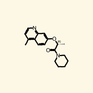 Cc1ccnc2cc(O[C@H](C)C(=O)N3CCCCC3)ccc12